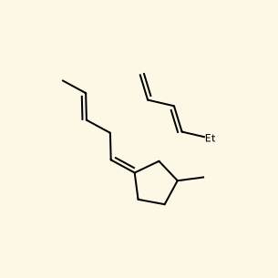 C=CC=CCC.CC=CCC=C1CCC(C)C1